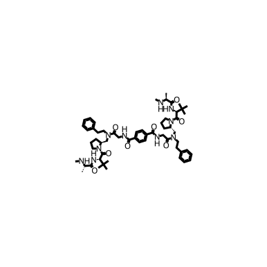 CN[C@@H](C)C(=O)N[C@H](C(=O)N1CCC[C@H]1CN(CCc1ccccc1)C(=O)CNC(=O)c1ccc(C(=O)NCC(=O)N(CCc2ccccc2)C[C@@H]2CCCN2C(=O)[C@@H](NC(=O)[C@H](C)NC)C(C)(C)C)cc1)C(C)(C)C